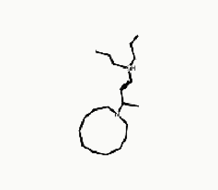 CCC[SiH](C=CC(C)N1CCCCCCCCCC1)CCC